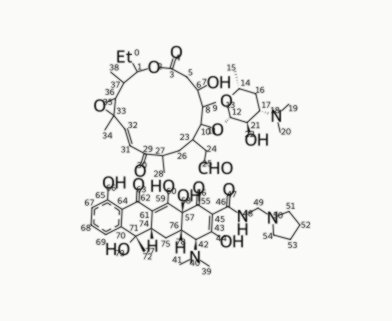 CCC1OC(=O)CC(O)C(C)C(O[C@@H]2O[C@H](C)C[C@H](N(C)C)[C@H]2O)C(CC=O)CC(C)C(=O)/C=C/C2(C)OC2C1C.CN(C)[C@@H]1C(O)=C(C(=O)NCN2CCCC2)C(=O)[C@@]2(O)C(O)=C3C(=O)c4c(O)cccc4[C@@](C)(O)[C@H]3C[C@@H]12